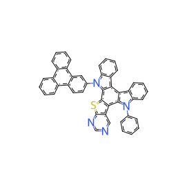 c1ccc(-n2c3ccccc3c3c4c5ccccc5n(-c5ccc6c7ccccc7c7ccccc7c6c5)c4c4sc5ncncc5c4c32)cc1